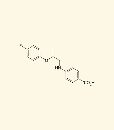 CC(CNc1ccc(C(=O)O)cc1)Oc1ccc(F)cc1